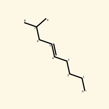 [CH2]CCC/C=C/CC(C)C